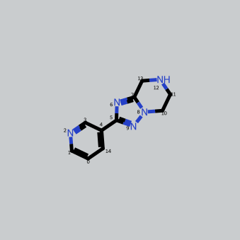 c1cncc(-c2nc3n(n2)CCNC3)c1